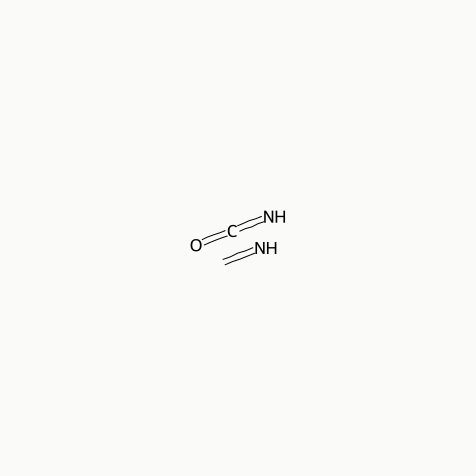 C=N.N=C=O